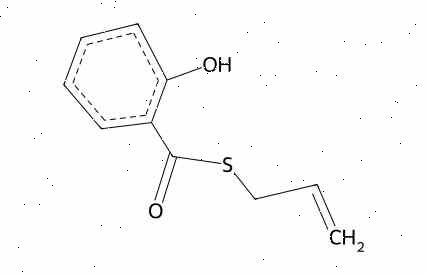 C=CCSC(=O)c1ccccc1O